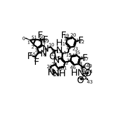 C[C@@H]1C2c3c(C(F)F)nn(CC(=O)N[C@@H](Cc4cc(F)cc(F)c4)c4nc5cn[nH]c5cc4-c4ccc(F)c(C(=O)NS(C)(=O)=O)c4)c3C(F)(F)C21